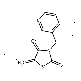 C=C1SC(=S)N(Cc2cccnc2)C1=O